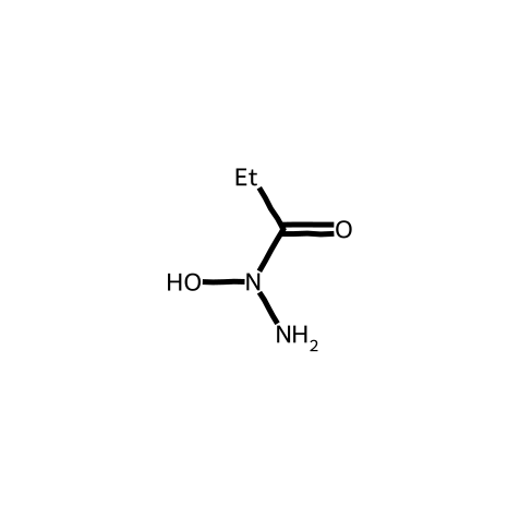 CCC(=O)N(N)O